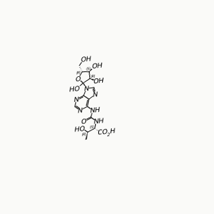 C[C@@H](O)[C@H](NC(=O)Nc1ncnc2c1ncn2C1(O)O[C@H](CO)[C@@H](O)[C@H]1O)C(=O)O